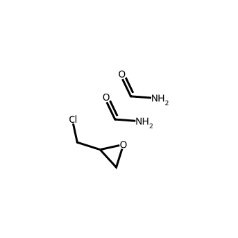 ClCC1CO1.NC=O.NC=O